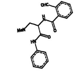 CNCC(NC(=O)c1ccccc1C=O)C(=O)Nc1ccccc1